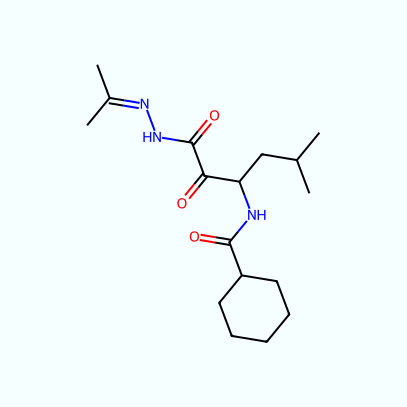 CC(C)=NNC(=O)C(=O)C(CC(C)C)NC(=O)C1CCCCC1